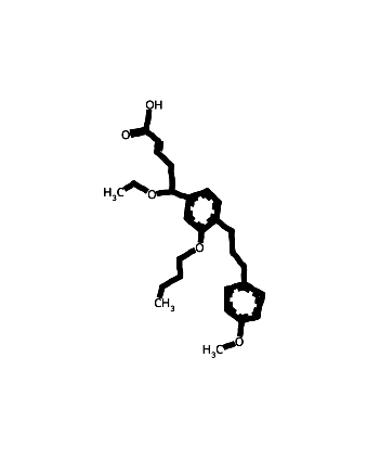 CCCCOc1cc(C(CC=CC(=O)O)OCC)ccc1CCCc1ccc(OC)cc1